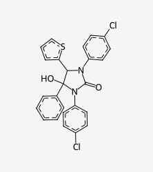 O=C1N(c2ccc(Cl)cc2)C(c2cccs2)C(O)(c2ccccc2)N1c1ccc(Cl)cc1